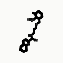 CC(=O)C(NCCCOCc1cccc(C)c1C(=O)O)c1ccc2ccccc2n1